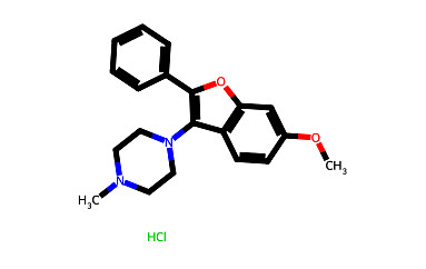 COc1ccc2c(N3CCN(C)CC3)c(-c3ccccc3)oc2c1.Cl